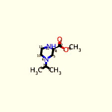 COC(=O)[C@H]1CN(C(C)C)CCN1